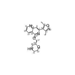 Cc1noc(C)c1-c1cc2ncccc2c(OC[C@@H]2CNCCO2)n1